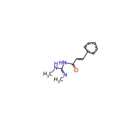 CN=C(NC)NC(=O)C=Cc1ccccc1